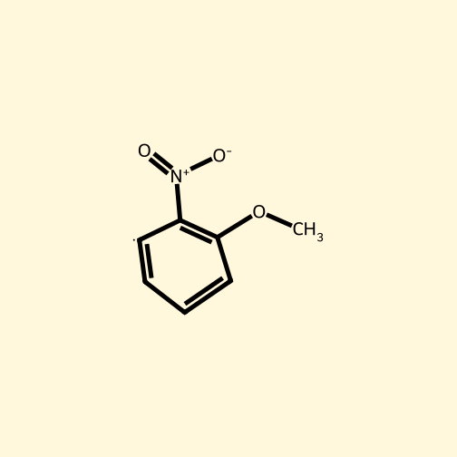 COc1ccc[c]c1[N+](=O)[O-]